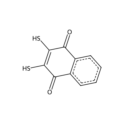 O=C1C(S)=C(S)C(=O)c2ccccc21